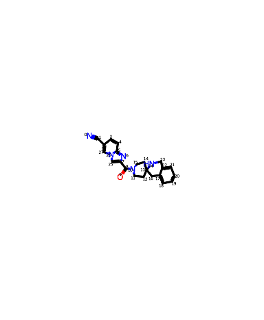 N#Cc1ccc2nc(C(=O)N3CCC4(CC3)Cc3ccccc3CN4)cn2c1